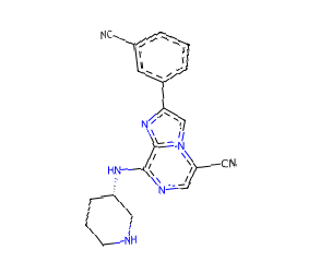 N#Cc1cccc(-c2cn3c(C#N)cnc(N[C@H]4CCCNC4)c3n2)c1